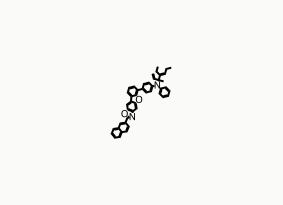 C=CC(C)(/C(=C/CC)CC)N(c1ccccc1)c1ccc(-c2cccc3c2oc2cc4nc(-c5ccc6ccccc6c5)oc4cc23)cc1